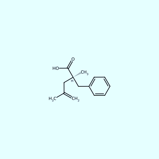 C=C(C)C[C@](C)(Cc1ccccc1)C(=O)O